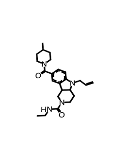 C=CCN1c2ccc(C(=O)N3CCC(C)CC3)cc2C2CN(C(=O)NCC)CCC21